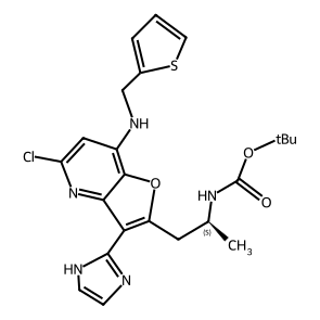 C[C@@H](Cc1oc2c(NCc3cccs3)cc(Cl)nc2c1-c1ncc[nH]1)NC(=O)OC(C)(C)C